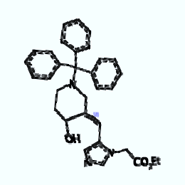 CCOC(=O)Cn1cncc1/C=C1/CN(C(c2ccccc2)(c2ccccc2)c2ccccc2)CCC1O